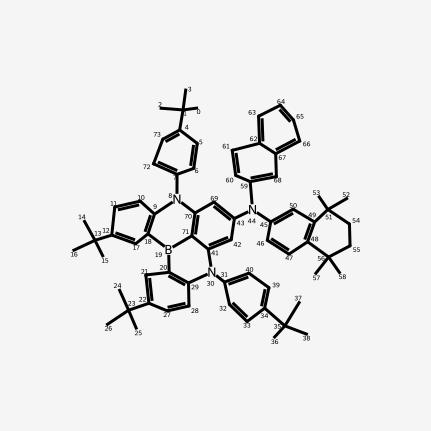 CC(C)(C)c1ccc(N2c3ccc(C(C)(C)C)cc3B3c4cc(C(C)(C)C)ccc4N(c4ccc(C(C)(C)C)cc4)c4cc(N(c5ccc6c(c5)C(C)(C)CCC6(C)C)c5ccc6ccccc6c5)cc2c43)cc1